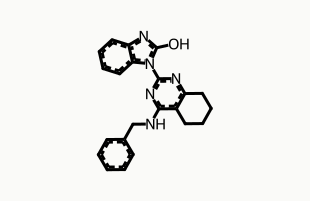 Oc1nc2ccccc2n1-c1nc2c(c(NCc3ccccc3)n1)CCCC2